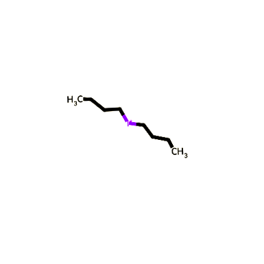 CCCC[I+]CCCC